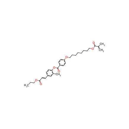 C=C(C)C(=O)OCCCCCCCCOc1ccc(C(=O)Oc2ccc(/C=C/C(=O)OCCC)cc2C)cc1